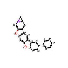 CC12C=c3c(oc4cc5oc6ccc(-c7ccccc7)cc6c5cc34)=CI1C2